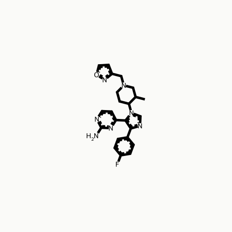 CC1CN(Cc2ccon2)CCC1n1cnc(-c2ccc(F)cc2)c1-c1ccnc(N)n1